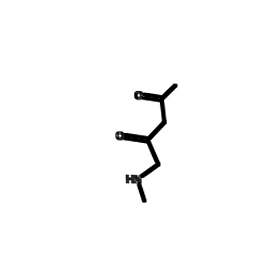 CNCC(=O)CC(C)=O